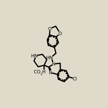 O=C(O)C1(C2=Nc3ccc(Cl)cc3CN2NCc2ccc3c(c2)OCO3)CCNCC1